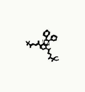 CCC(C)(CC)/C(C)=C/C=C(\C)c1ccc(/C(C)=C/C=C(\C)C(C)(C)C)c2nc(-c3ccccc3)c(-c3ccccc3)nc12